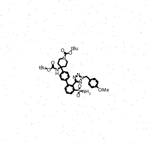 COc1ccc(Cn2nnc(-c3c(-c4ccc(C5(NC(=O)OC(C)(C)C)CCN(C(=O)OC(C)(C)C)CC5)cc4)cccc3S(N)(=O)=O)n2)cc1